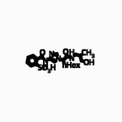 CCCCCCC(C(=O)NCC(C)CO)n1cnc(NC(=O)c2ccccc2S(=O)(=O)O)c1